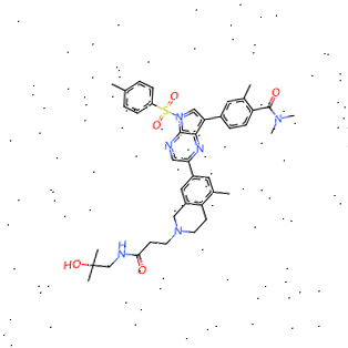 Cc1ccc(S(=O)(=O)n2cc(-c3ccc(C(=O)N(C)C)c(C)c3)c3nc(-c4cc(C)c5c(c4)CN(CCC(=O)NCC(C)(C)O)CC5)cnc32)cc1